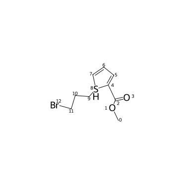 COC(=O)C1=CC=C[SH]1CCCBr